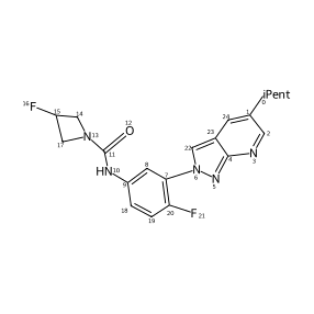 CCCC(C)c1cnc2nn(-c3cc(NC(=O)N4CC(F)C4)ccc3F)cc2c1